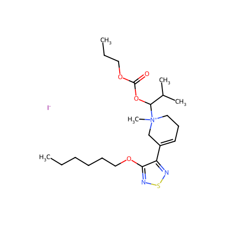 CCCCCCOc1nsnc1C1=CCC[N+](C)(C(OC(=O)OCCC)C(C)C)C1.[I-]